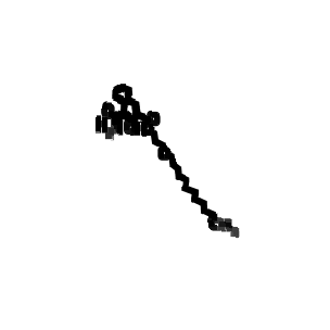 CCCCCCCCCCCCOCCCOC(=O)c1cc2ccccc2c(C(N)=O)c1O